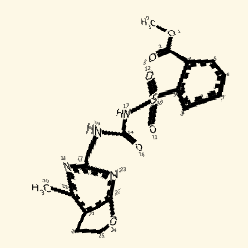 COC(=O)c1ccccc1S(=O)(=O)NC(=O)Nc1nc(C)c2c(n1)OCC2